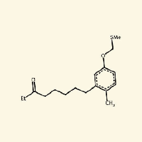 CCC(=O)CCCCCc1cc(OCSC)ccc1C